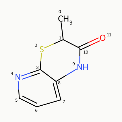 CC1Sc2ncccc2NC1=O